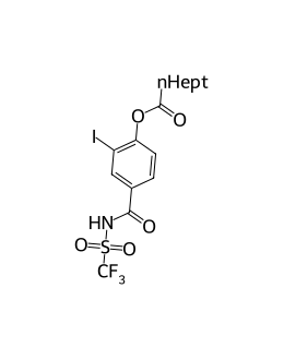 CCCCCCCC(=O)Oc1ccc(C(=O)NS(=O)(=O)C(F)(F)F)cc1I